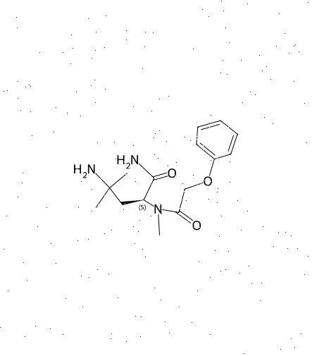 CN(C(=O)COc1ccccc1)[C@@H](CC(C)(C)N)C(N)=O